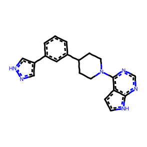 c1cc([C]2CCN(c3ncnc4[nH]ccc34)CC2)cc(-c2cn[nH]c2)c1